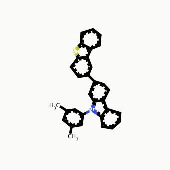 Cc1cc(C)cc(-n2c3ccccc3c3ccc(-c4ccc5sc6ccccc6c5c4)cc32)c1